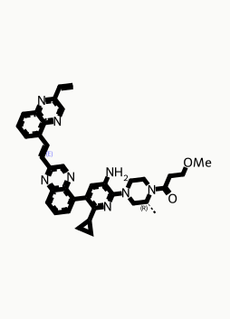 C=Cc1cnc2c(/C=C/c3cnc4c(-c5cc(N)c(N6CCN(C(=O)CCOC)[C@H](C)C6)nc5C5CC5)cccc4n3)cccc2n1